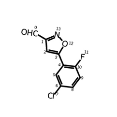 O=Cc1cc(-c2cc(Cl)ccc2F)on1